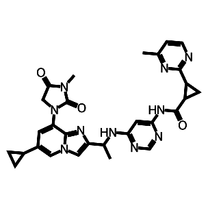 Cc1ccnc(C2CC2C(=O)Nc2cc(NC(C)c3cn4cc(C5CC5)cc(N5CC(=O)N(C)C5=O)c4n3)ncn2)n1